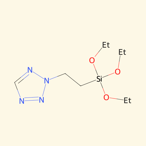 CCO[Si](CCn1ncnn1)(OCC)OCC